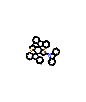 c1ccc2c(c1)-c1ccccc1C21c2cc(-n3c4ccccc4c4ccccc43)sc2C2(c3ccccc3-c3ccccc32)c2ccsc21